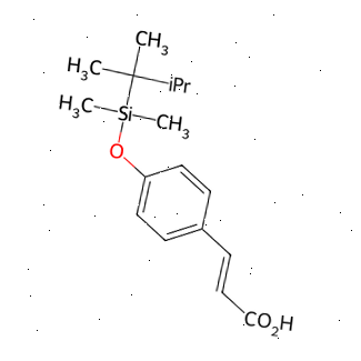 CC(C)C(C)(C)[Si](C)(C)Oc1ccc(C=CC(=O)O)cc1